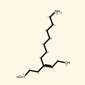 CCCCCCCCCCC(=CCO)CCCCCCCN